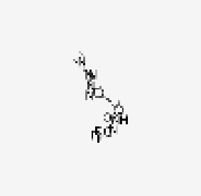 CCN(CC)CCn1cc(-n2cnc3cc(C#Cc4cc(NC(=O)c5cc(C(F)(F)F)ccn5)ccc4C)ccc32)cn1